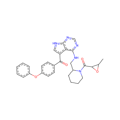 CC1OC1C(=O)N1CCCCC1CNc1ncnc2[nH]cc(C(=O)c3ccc(Oc4ccccc4)cc3)c12